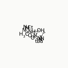 CCn1ncnc1C(C)NC(=O)[C@@H]1C[C@@H](O)CN1C(=O)[C@@H](n1cc(C2CC2)nn1)C(C)(C)C